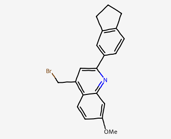 COc1ccc2c(CBr)cc(-c3ccc4c(c3)CCC4)nc2c1